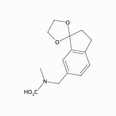 CN(Cc1ccc2c(c1)C1(CC2)OCCO1)C(=O)O